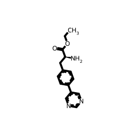 CCOC(=O)[C@@H](N)Cc1ccc(-c2cncnc2)cc1